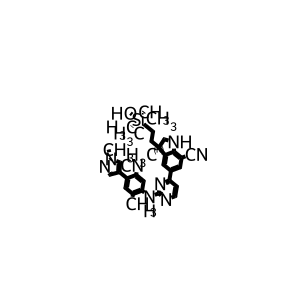 Cc1cc(-c2cnn(C)c2)c(C#N)cc1Nc1nccc(-c2cc(C#N)c3c(c2)[C@@](C)(CCC(C)(C)[Si](C)(C)O)CN3)n1